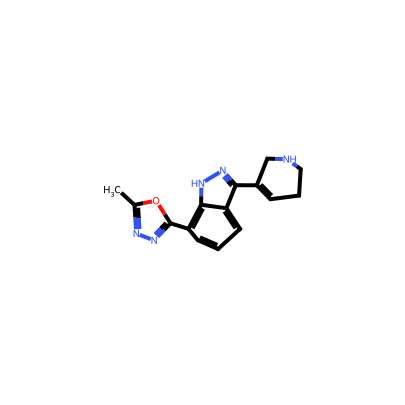 Cc1nnc(-c2cccc3c(C4=CCCNC4)n[nH]c23)o1